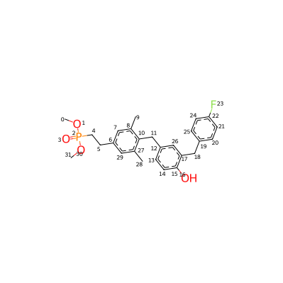 COP(=O)(CCc1cc(C)c(Cc2ccc(O)c(Cc3ccc(F)cc3)c2)c(C)c1)OC